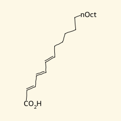 CCCCCCCCCCCCC/C=C/C=C/C=C/C(=O)O